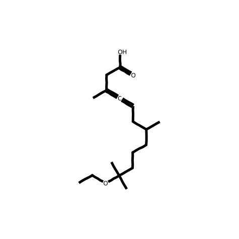 CCOC(C)(C)CCCC(C)CC=C=C(C)CC(=O)O